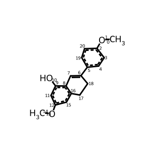 COc1ccc(C2=Cc3c(O)cc(OC)cc3CC2)cc1